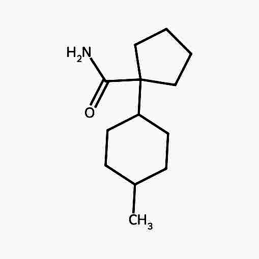 CC1CCC(C2(C(N)=O)CCCC2)CC1